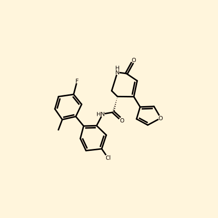 Cc1ccc(F)cc1-c1ccc(Cl)cc1NC(=O)[C@@H]1CNC(=O)C=C1c1ccoc1